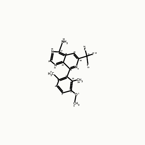 COc1ccc(C)c(-c2nc(C(F)(F)F)cc3c(N)ncnc23)c1C